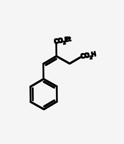 CCOC(=O)C(=Cc1ccccc1)CC(=O)O